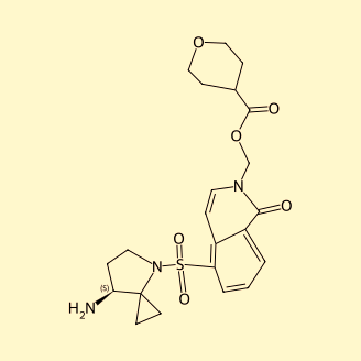 N[C@H]1CCN(S(=O)(=O)c2cccc3c(=O)n(COC(=O)C4CCOCC4)ccc23)C12CC2